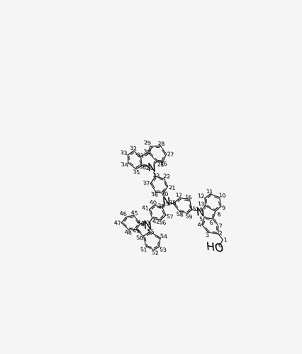 OCc1ccc2c(c1)c1ccccc1n2-c1ccc(N(c2ccc(-n3c4ccccc4c4ccccc43)cc2)c2ccc(-n3c4ccccc4c4ccccc43)cc2)cc1